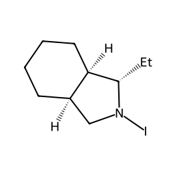 CC[C@H]1[C@@H]2CCCC[C@@H]2CN1I